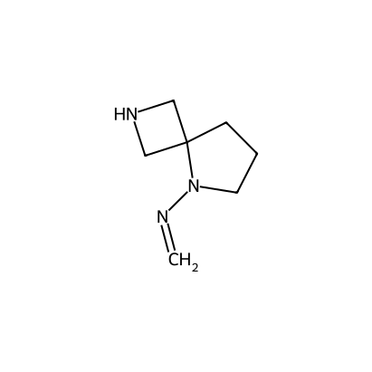 C=NN1CCCC12CNC2